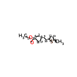 CCOC(=O)c1ccc(C=Cc2ccc(C)s2)cc1